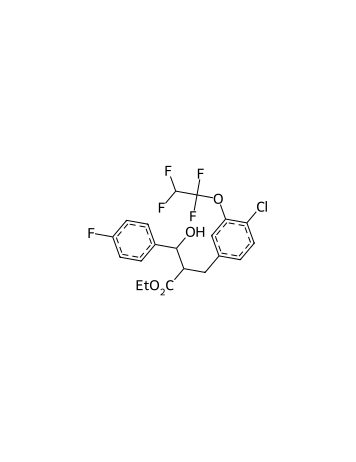 CCOC(=O)C(Cc1ccc(Cl)c(OC(F)(F)C(F)F)c1)C(O)c1ccc(F)cc1